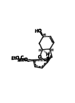 CCOC(=O)CN1CC[C@@]23C=C[C@H](O)C[C@@H]2Oc2c(OC)ccc(c23)C1